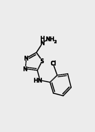 NNc1nnc(Nc2ccccc2Cl)s1